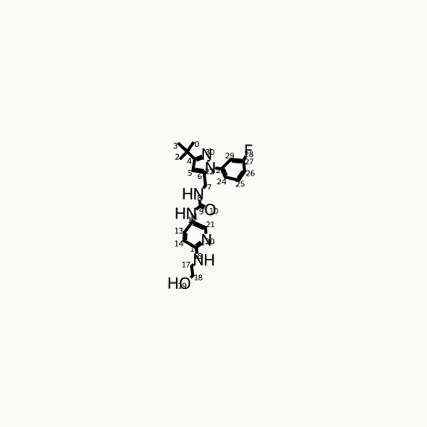 CC(C)(C)c1cc(CNC(=O)Nc2ccc(NCCO)nc2)n(-c2cccc(F)c2)n1